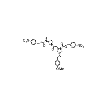 COc1ccc(CS[C@H]2C[C@@H](CC(=O)N3CC[C@H](NC(=O)OCc4ccc([N+](=O)[O-])cc4)C3)N(C(=O)OCc3ccc([N+](=O)[O-])cc3)C2)cc1